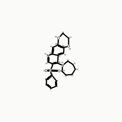 O=S(=O)(c1ccccc1)c1cnc2cc3c(cc2c1N1CCCCCC1)OCCO3